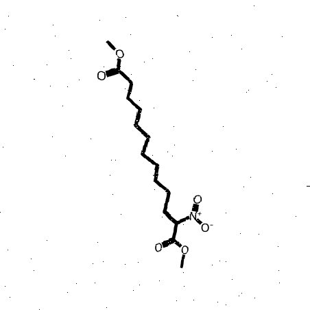 COC(=O)CCCCCCCCCCC(C(=O)OC)[N+](=O)[O-]